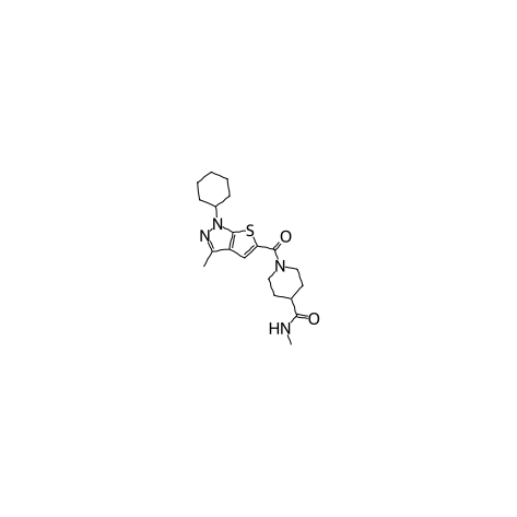 CNC(=O)C1CCN(C(=O)c2cc3c(C)nn(C4CCCCC4)c3s2)CC1